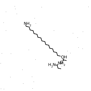 CC(=O)O.CCC(N)N.CCCCCCCCCCCCCCCCCCN